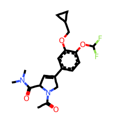 CC(=O)N1CC(c2ccc(OC(F)F)c(OCC3CC3)c2)=CC1C(=O)N(C)C